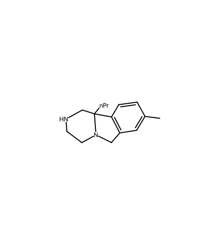 CCCC12CNCCN1Cc1cc(C)ccc12